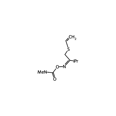 C=CSCC(=NOC(=O)NC)C(C)C